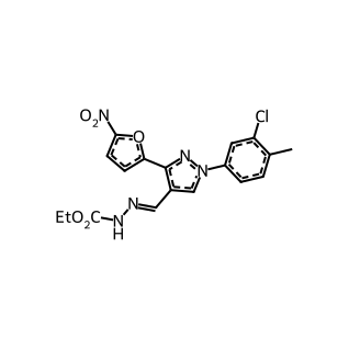 CCOC(=O)NN=Cc1cn(-c2ccc(C)c(Cl)c2)nc1-c1ccc([N+](=O)[O-])o1